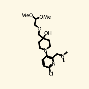 COC(COCC1(O)CCN(c2ccc(Cl)nc2CN(C)C)CC1)OC